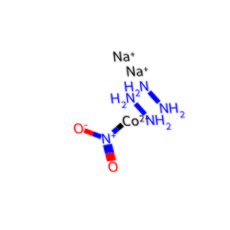 NN.NN.O=[N+]([O-])[Co-2].[Na+].[Na+]